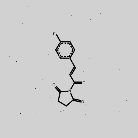 O=C(C=Cc1ccc(Cl)cc1)N1C(=O)CCC1=O